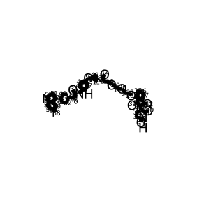 C[C@@H](C(=O)Nc1ccc(OC2CN(C(=O)CCOCCOCCOc3cccc4c3C(=O)N(C3CCC(=O)NC3=O)C4=O)C2)cc1)[C@H]1CC[C@@H](c2ccnc3ccc(F)cc32)CC1